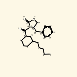 CCCCCC1CCCC(C(=O)N2C(=O)OC[C@H]2Cc2ccccc2)C1